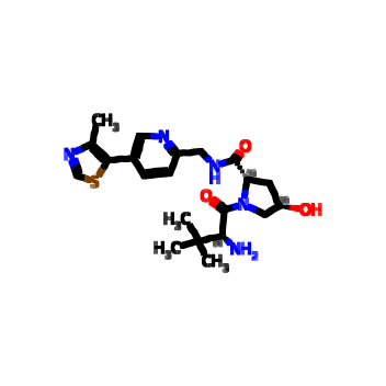 Cc1ncsc1-c1ccc(CNC(=O)[C@@H]2C[C@@H](O)CN2C(=O)[C@@H](N)C(C)(C)C)nc1